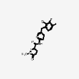 Cn1nc(C(=O)Nc2ccc(Cc3ccc(F)c(F)c3Cl)cn2)ccc1=O